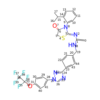 C=C(/N=C1\SCC(=O)N1c1ccccc1C(C)C)NCc1ccc(-c2ncn(-c3ccc(OC(F)(F)C(F)(F)F)cc3)n2)cc1